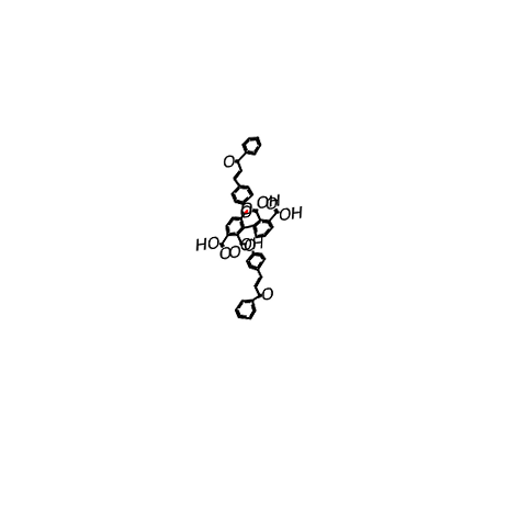 O=C(C=Cc1ccc(Oc2ccc(C(=O)O)c(C(=O)O)c2-c2c(Oc3ccc(C=CC(=O)c4ccccc4)cc3)ccc(C(=O)O)c2C(=O)O)cc1)c1ccccc1